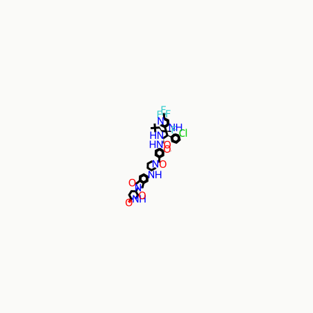 COc1cc(C(=O)N2CCC[C@H](Nc3ccc4c(c3)CN(C3CCC(=O)NC3=O)C4=O)C2)ccc1NC(=O)[C@@H]1N[C@@H](CC(C)(C)C)[C@@]2(CNc3cc(C(F)(F)F)ncc32)[C@H]1c1cccc(Cl)c1F